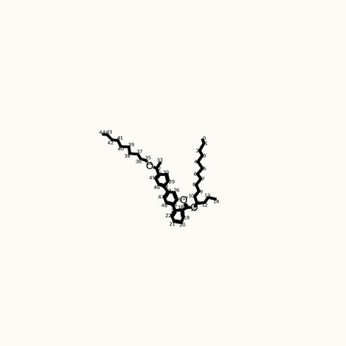 CCCCCCCCCCCC(CCC)OC(=O)c1ccccc1-c1ccc(-c2ccc(C(C)OCCCCCCCCCC)cc2)cc1